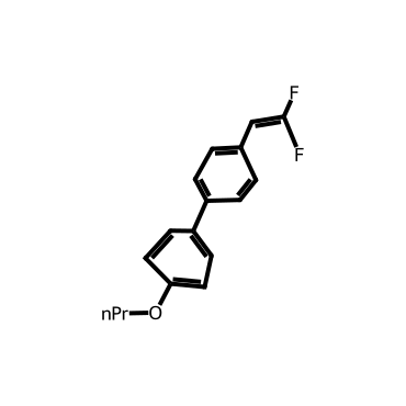 CCCOc1ccc(-c2ccc(C=C(F)F)cc2)cc1